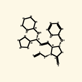 C=CC[C@H]1C(=O)C[C@@H](O[C@@H]2C=CC=CO2)[C@@H]1C=C[C@@H](OC1CCCCO1)C1CCCC1